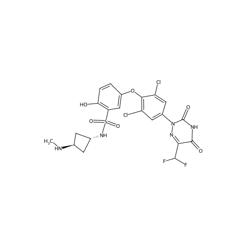 CN[C@H]1C[C@H](NS(=O)(=O)c2cc(Oc3c(Cl)cc(-n4nc(C(F)F)c(=O)[nH]c4=O)cc3Cl)ccc2O)C1